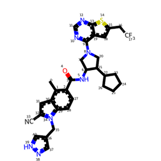 Cc1c(C(=O)NC2CN(c3ncnc4sc(CC(F)(F)F)cc34)CC2C2CCCC2)ccc2c1cc(C#N)n2Cc1cn[nH]c1